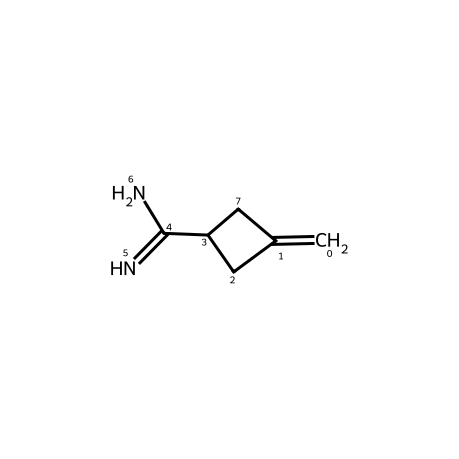 C=C1CC(C(=N)N)C1